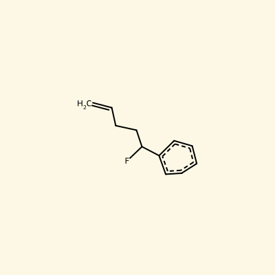 C=CCCC(F)c1ccccc1